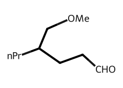 CCCC(CCC=O)COC